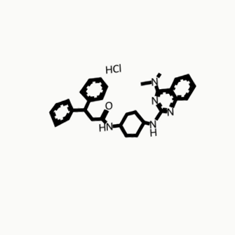 CN(C)c1nc(NC2CCC(NC(=O)CC(c3ccccc3)c3ccccc3)CC2)nc2ccccc12.Cl